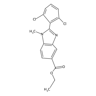 CCOC(=O)c1ccc2c(c1)nc(-c1c(Cl)cccc1Cl)n2C